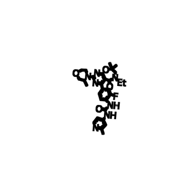 CCN1CC(C)(C)Oc2nc(N3CCOCC3C)nc(-c3ccc(NC(=O)Nc4ccnc(C)c4)c(F)c3)c2C1=O